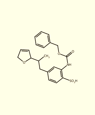 CC(Cc1ccc(S(=O)(=O)O)c(NC(=O)OCc2ccccc2)c1)C1C=CCO1